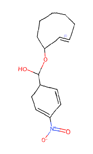 O=[N+]([O-])C1=CCC(C(O)OC2/C=C/CCCCC2)C=C1